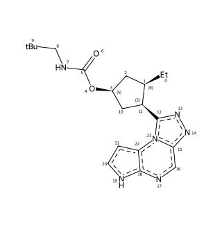 CC[C@@H]1C[C@H](OC(=O)NCC(C)(C)C)C[C@@H]1c1nnc2cnc3[nH]ccc3n12